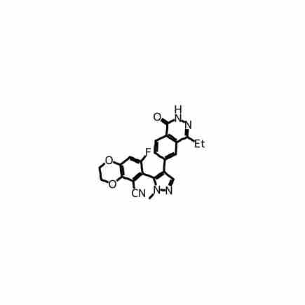 CCc1n[nH]c(=O)c2ccc(-c3cnn(C)c3-c3c(F)cc4c(c3C#N)OCCO4)cc12